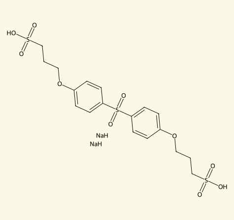 O=S(=O)(O)CCCOc1ccc(S(=O)(=O)c2ccc(OCCCS(=O)(=O)O)cc2)cc1.[NaH].[NaH]